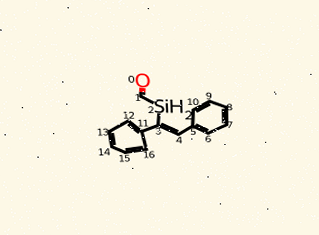 O=C[SiH2]C(=Cc1ccccc1)c1ccccc1